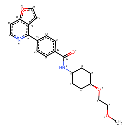 COCCO[C@H]1CC[C@H](NC(=O)c2ccc(-c3nccc4occc34)cc2)CC1